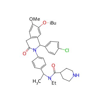 CC[C@@H](C)Oc1cc2c(cc1OC)CC(=O)N(c1ccc(C(C)N(CC)C(=O)C3CCNCC3)cc1)C2c1ccc(Cl)cc1